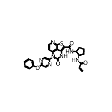 C=CC(=O)N[C@@H]1CCCC1NC(=O)c1sc2nccc3c2c1NC(=O)N3c1cnc(Oc2ccccc2)cn1